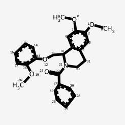 COc1cc2c(cc1OC)C(COc1ccccc1OC)N(C(=O)c1ccccc1)CC2